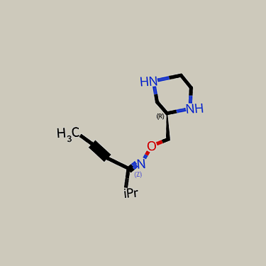 CC#C/C(=N\OC[C@H]1CNCCN1)C(C)C